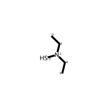 CCN(S)CC